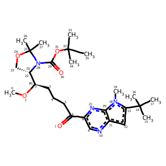 CO[C@H](CCCC(=O)c1cnc2cc(C(C)(C)C)n(C)c2n1)[C@@H]1COC(C)(C)N1C(=O)OC(C)(C)C